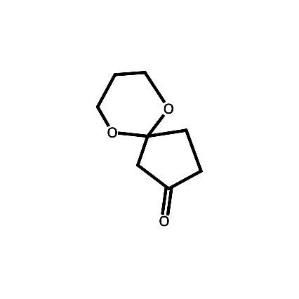 O=C1CCC2(C1)OCCCO2